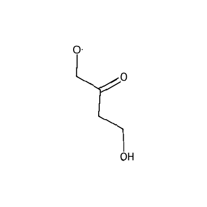 [O]CC(=O)CCO